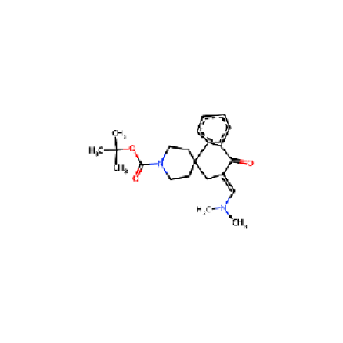 CN(C)/C=C1\CC2(CCN(C(=O)OC(C)(C)C)CC2)c2ccccc2C1=O